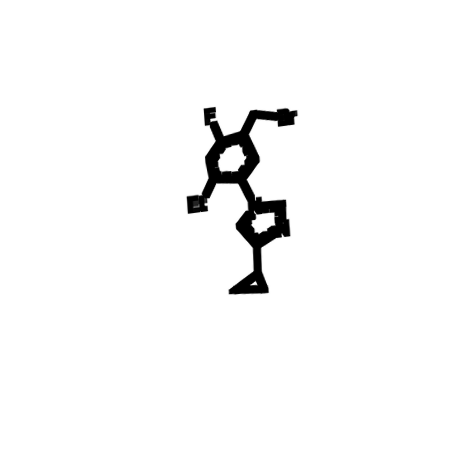 CCc1cc(F)c(CBr)cc1-n1cnc(C2CC2)c1